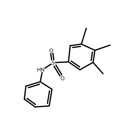 Cc1cc(S(=O)(=O)Nc2ccccc2)cc(C)c1C